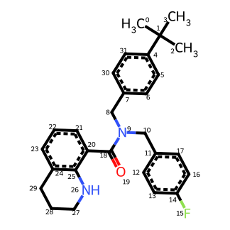 CC(C)(C)c1ccc(CN(Cc2ccc(F)cc2)C(=O)c2cccc3c2NCCC3)cc1